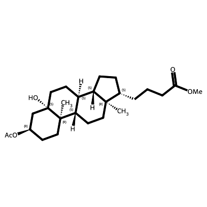 COC(=O)CCC[C@H]1CC[C@H]2[C@@H]3CC[C@]4(O)C[C@H](OC(C)=O)CC[C@]4(C)[C@H]3CC[C@]12C